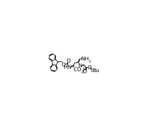 CC(C)(C)OC(=O)/C=N/C(=C\N)C[C@@H](NC(=O)OCC1c2ccccc2-c2ccccc21)C(=O)O